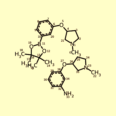 CN1CCC(Oc2cccc(B3OC(C)(C)C(C)(C)O3)c2)C1.CN1CCC(Oc2cccc(N)c2)C1